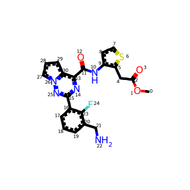 COC(=O)Cc1sccc1NC(=O)c1nc(-c2cccc(CN)c2F)nn2cccc12